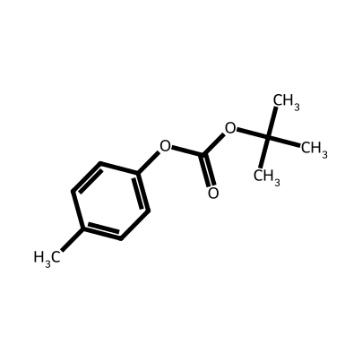 Cc1ccc(OC(=O)OC(C)(C)C)cc1